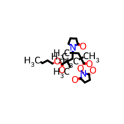 CCCCOC(=O)C(C)(CC)CC(C)(CC(C)(C)C(=O)ON1C(=O)CCC1=O)N1CCCC1=O